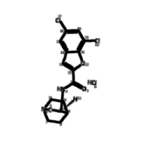 Cl.O=C(N[C@@H]1CN2CCC1CC2)c1cc2cc(Cl)cc(Cl)c2o1